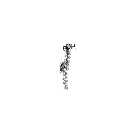 CCCCCCCCCCCCCCCCCCCCCC(=O)O.CCOCC